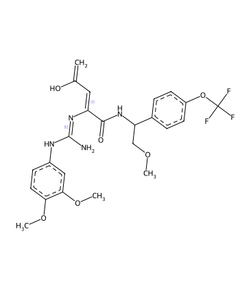 C=C(O)/C=C(\N=C(/N)Nc1ccc(OC)c(OC)c1)C(=O)NC(COC)c1ccc(OC(F)(F)F)cc1